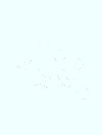 Cn1cc(-c2c3c4c(ncc5c4n(c(=O)n5C)[C@H]4C[C@H](N)[C@@H](C4)OCC(=O)Nc4ccc-3cc4)n2S(=O)(=O)c2ccccc2)c(F)n1